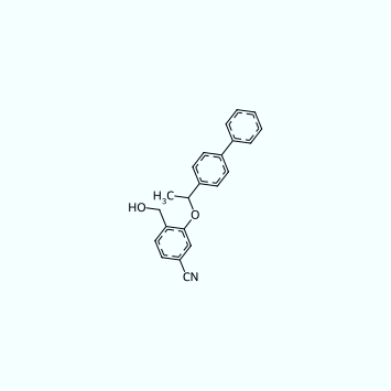 CC(Oc1cc(C#N)ccc1CO)c1ccc(-c2ccccc2)cc1